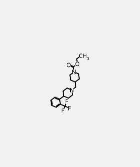 CCOC(=O)N1CCC(CN2CCC(c3ccccc3C(F)(F)F)CC2)CC1